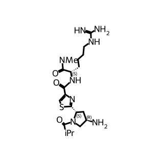 CNC(=O)[C@H](CCCCNC(=N)N)NC(=O)c1csc([C@@H]2C[C@@H](N)CN2C(=O)C(C)C)n1